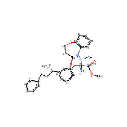 CCOC(=O)[C@@H](CCc1ccccc1)c1cccc(C[C@@](N)(C(=O)OC(C)(C)C)N(C(C)=O)N2C(=O)CCOc3ccccc32)c1